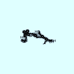 CCCCc1cc(C(C)(C)c2ccc(OCC(O)CO)c(CCC[Si](C)(C)c3ccc([Si](C)(C)CCCc4cc(C5(c6ccc(O)c(CCC[Si](C)(C)O[Si](C)(C)O[Si](C)(C)C)c6)c6ccccc6-c6ccccc65)ccc4O)cc3)c2)ccc1OCC(O)CO